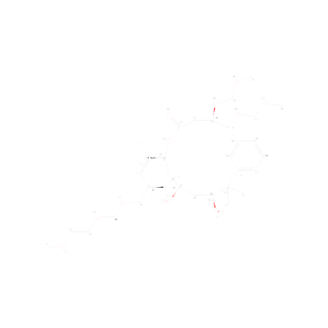 CC[C@H](/C=C(/C)[C@@H]1C[C@H](O)C[C@H](O)C(C)(C)c2cccc(c2)C(OCOC)[C@H](OCOC)CC(=O)O1)COCOCCOC